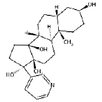 C[C@]12CC[C@H](O)C[C@H]1CC[C@@H]1[C@@H]2CC[C@]2(C)[C@@](O)(c3cccnc3)CC[C@]12O